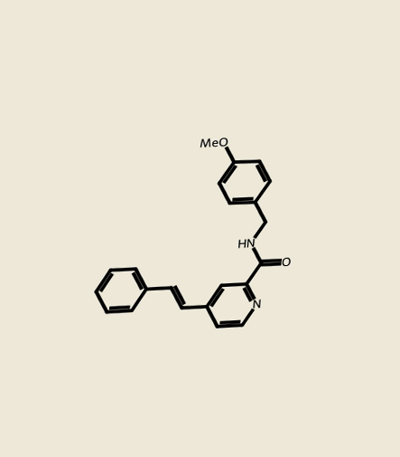 COc1ccc(CNC(=O)c2cc(C=Cc3ccccc3)ccn2)cc1